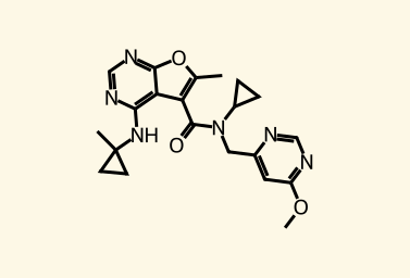 COc1cc(CN(C(=O)c2c(C)oc3ncnc(NC4(C)CC4)c23)C2CC2)ncn1